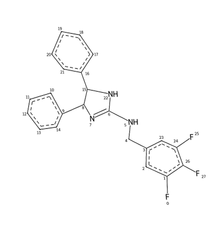 Fc1cc(CNC2=NC(c3ccccc3)C(c3ccccc3)N2)cc(F)c1F